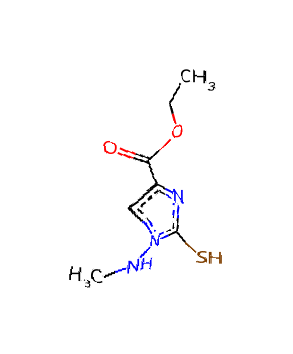 CCOC(=O)c1cn(NC)c(S)n1